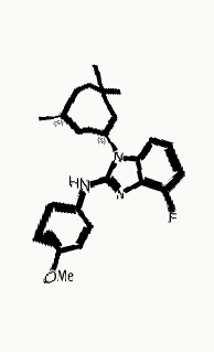 COc1ccc(Nc2nc3c(F)cccc3n2[C@H]2C[C@@H](C)CC(C)(C)C2)cc1